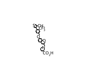 Cc1cscc1-c1ccc(COc2ccc3c(c2)OCC(CN2CCC=C(C(=O)O)C2)=C3)cc1C(F)(F)F